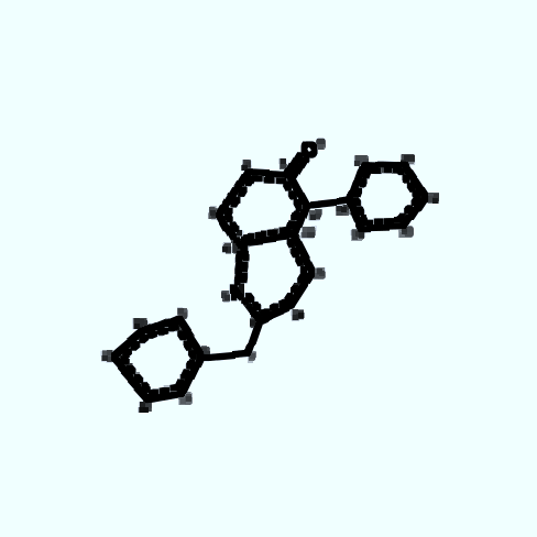 O=c1ccn2nc(Cc3ccccc3)ccc2c1-c1ccccc1